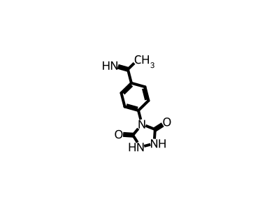 CC(=N)c1ccc(-n2c(=O)[nH][nH]c2=O)cc1